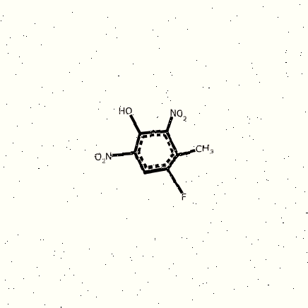 Cc1c(F)cc([N+](=O)[O-])c(O)c1[N+](=O)[O-]